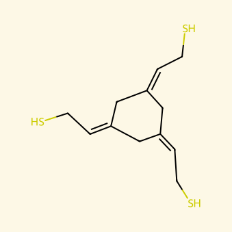 SCC=C1CC(=CCS)CC(=CCS)C1